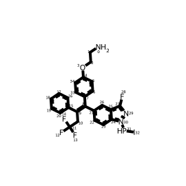 NCCOc1ccc(/C(=C(/CC(F)(F)F)c2ccccc2)c2ccc3c(c2)c(F)nn3PI)cc1